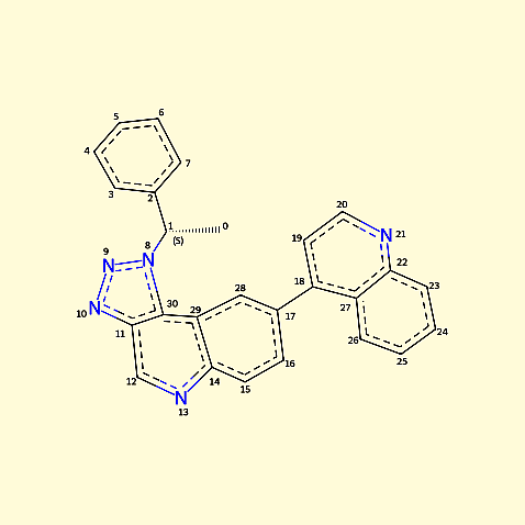 C[C@@H](c1ccccc1)n1nnc2cnc3ccc(-c4ccnc5ccccc45)cc3c21